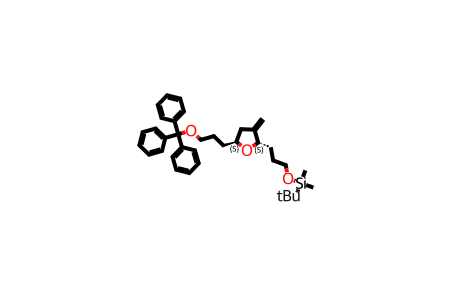 C=C1C[C@H](CCCOC(c2ccccc2)(c2ccccc2)c2ccccc2)O[C@H]1CCCO[Si](C)(C)C(C)(C)C